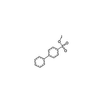 O=S(=O)(OI)c1ccc(-c2ccccc2)cc1